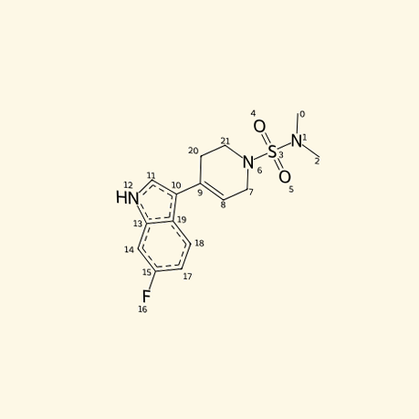 CN(C)S(=O)(=O)N1CC=C(c2c[nH]c3cc(F)ccc23)CC1